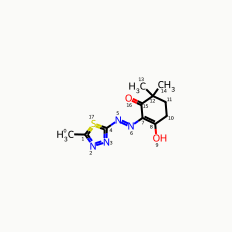 Cc1nnc(N=NC2=C(O)CCC(C)(C)C2=O)s1